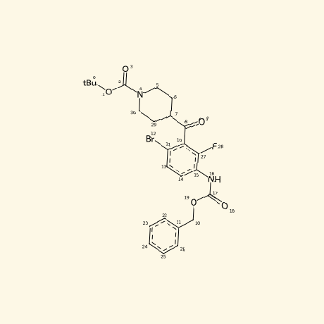 CC(C)(C)OC(=O)N1CCC(C(=O)c2c(Br)ccc(NC(=O)OCc3ccccc3)c2F)CC1